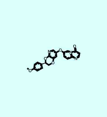 COc1ccc([C@@H]2COc3cc(Oc4ccc5nccc(=O)n5c4)cnc3O2)cc1